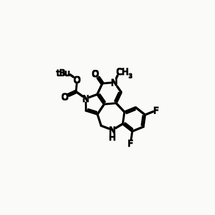 Cn1cc2c3c(cn(C(=O)OC(C)(C)C)c3c1=O)CNc1c(F)cc(F)cc1-2